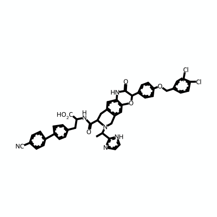 CC(c1ncc[nH]1)N1Cc2cc3c(cc2CC1C(=O)NC(Cc1ccc(-c2ccc(C#N)cc2)cc1)C(=O)O)NC(=O)C(c1ccc(OCc2ccc(Cl)c(Cl)c2)cc1)O3